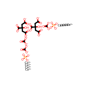 O=C([O-])CC(O)(CC(=O)[O-])C(=O)[O-].O=C([O-])CC(O)(CC(=O)[O-])C(=O)[O-].O=C([O-])[O-].O=C([O-])[O-].O=C([O-])[O-].O=P([O-])([O-])[O-].O=P([O-])([O-])[O-].[Ca+2].[Ca+2].[Ca+2].[Ca+2].[Ca+2].[Ca+2].[Ca+2].[Ca+2].[Ca+2]